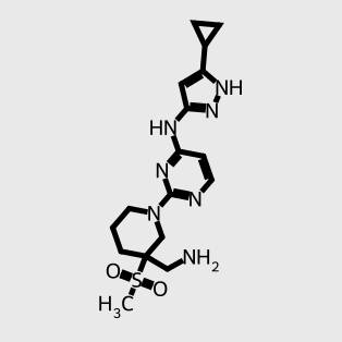 CS(=O)(=O)C1(CN)CCCN(c2nccc(Nc3cc(C4CC4)[nH]n3)n2)C1